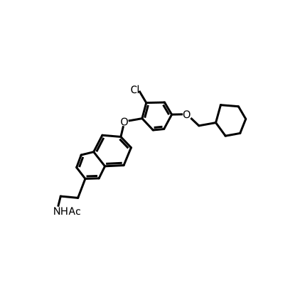 CC(=O)NCCc1ccc2cc(Oc3ccc(OCC4CCCCC4)cc3Cl)ccc2c1